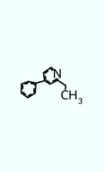 CCc1cc(-c2ccccc2)ccn1